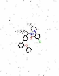 O=C(O)CC(NC(=O)c1cc(Cl)ccc1N1CCC(C(F)(F)F)CC1)c1ccc(-c2ccccc2Oc2ccccc2)cc1